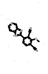 COc1c(C#N)ccc(-c2nc3cnccc3[nH]2)c1C#N